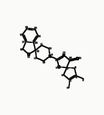 CC1=C(C)CC2(C1)OC(N1CCC3(CC1)OCc1ccccc13)=NC2=O